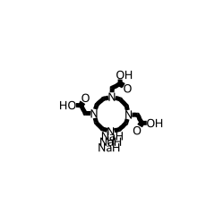 O=C(O)CN1CCNCCN(CC(=O)O)CCN(CC(=O)O)CC1.[NaH].[NaH].[NaH]